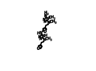 CN(CCc1ccoc1)c1nnc(Nc2cc(CCN(C)c3nnc(N)n3C)co2)[nH]1